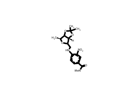 CNC(=O)c1ccc(NCC2O[C@@H](C)C3OC(C)(C)O[C@H]23)c([N+](=O)[O-])c1